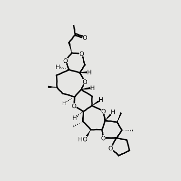 CC(=O)C[C@H]1OC[C@@H]2O[C@@H]3C[C@@H]4O[C@H]5C(OC6(CCCO6)[C@@H](C)[C@@H]5C)[C@@H](O)[C@H](C)[C@H]4O[C@H]3C[C@@H](C)C[C@H]2O1